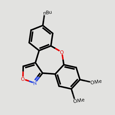 CCCCc1ccc2c(c1)Oc1cc(OC)c(OC)cc1-c1nocc1-2